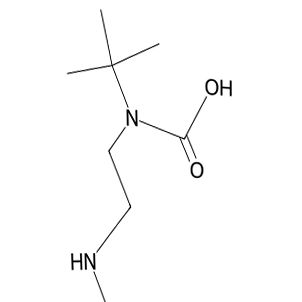 CNCCN(C(=O)O)C(C)(C)C